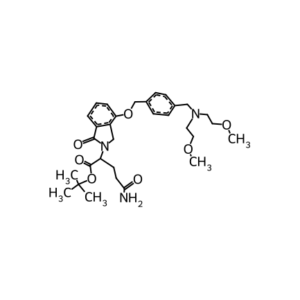 COCCN(CCOC)Cc1ccc(COc2cccc3c2CN(C(CCC(N)=O)C(=O)OC(C)(C)C)C3=O)cc1